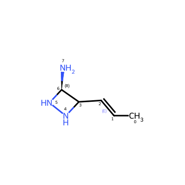 C/C=C/C1NN[C@H]1N